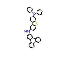 C1=CC(N(c2ccccc2)c2ccccc2)Cc2sc3ccc(Nc4ccc5c6ccccc6c6ccccc6c5c4)cc3c21